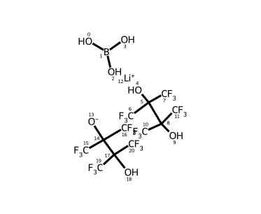 OB(O)O.OC(C(F)(F)F)(C(F)(F)F)C(O)(C(F)(F)F)C(F)(F)F.[Li+].[O-]C(C(F)(F)F)(C(F)(F)F)C(O)(C(F)(F)F)C(F)(F)F